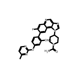 COc1cc(Oc2nccc(C)n2)ccc1-c1cc2c(cc1F)ncc1ncn(C3CCN(C(N)=O)CC3)c12